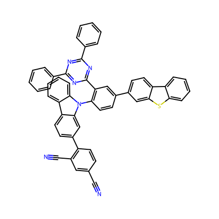 N#Cc1ccc(-c2ccc3c4ccccc4n(-c4ccc(-c5ccc6c(c5)sc5ccccc56)cc4-c4nc(-c5ccccc5)nc(-c5ccccc5)n4)c3c2)c(C#N)c1